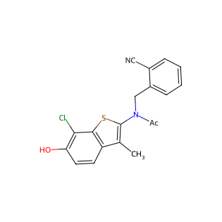 CC(=O)N(Cc1ccccc1C#N)c1sc2c(Cl)c(O)ccc2c1C